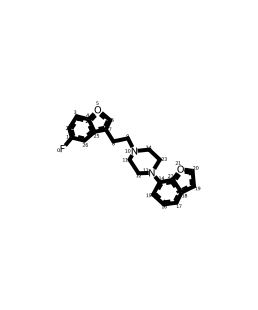 Fc1ccc2occ(CCN3CCN(c4cccc5ccoc45)CC3)c2c1